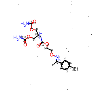 CCc1ccc(/C(C)=N/OCCOC(=O)NC(COC(N)=O)COC(N)=O)cc1